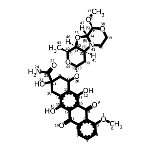 COc1cccc2c1C(=O)c1c(O)c3c(c(O)c1C2=O)CC(O)(C(N)=O)CC3O[C@H]1C[C@H]2[C@H](O[C@@H]3[C@@H](OC)OCCN32)[C@H](C)O1